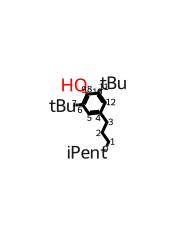 CCCC(C)CCCc1cc(C(C)(C)C)c(O)c(C(C)(C)C)c1